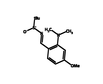 COc1ccc(C=N[S+]([O-])C(C)(C)C)c(N(C)C)c1